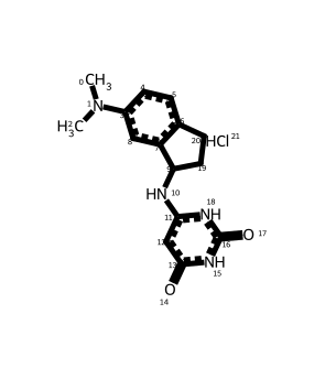 CN(C)c1ccc2c(c1)C(Nc1cc(=O)[nH]c(=O)[nH]1)CC2.Cl